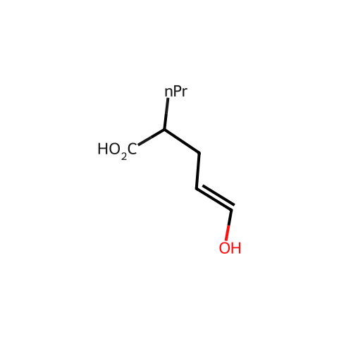 CCCC(CC=CO)C(=O)O